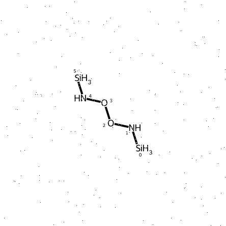 [SiH3]NOON[SiH3]